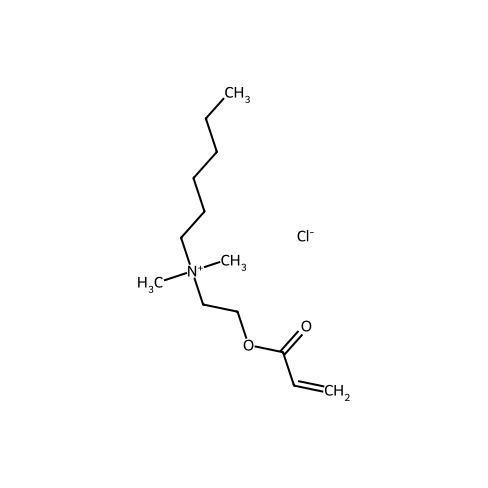 C=CC(=O)OCC[N+](C)(C)CCCCCC.[Cl-]